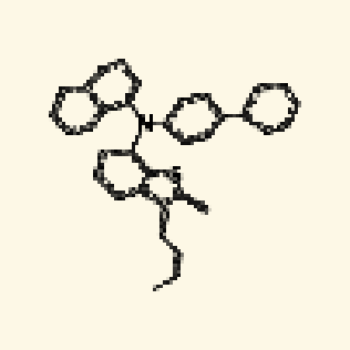 C=c1sc2c(N(c3ccc(-c4ccccc4)cc3)c3cccc4ccccc34)cccc2/c1=C/C=C\C